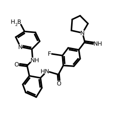 Bc1ccc(NC(=O)c2ccccc2NC(=O)c2ccc(C(=N)N3CCCC3)cc2F)nc1